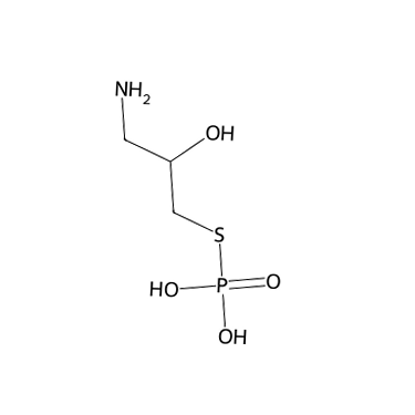 NCC(O)CSP(=O)(O)O